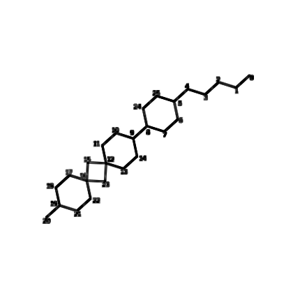 CCCCCC1CCC(C2CCC3(CC2)CC2(CCC(C)CC2)C3)CC1